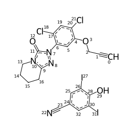 C#CCOc1cc(-n2nc3n(c2=O)CCCC3)c(Cl)cc1Cl.N#Cc1cc(I)c(O)c(I)c1